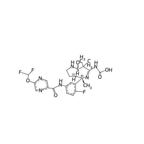 CC1(C)C(NC(=O)O)=N[C@](C)(c2cc(NC(=O)c3cnc(OC(F)F)cn3)ccc2F)[C@@H]2CCN[SH]21=O